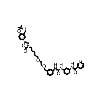 CC1(C)OCc2cc([C@@H]3CN(CCCCCOCCOCc4cccc(NC(=O)Nc5cccc(NC(=O)c6cccnc6)c5)c4)C(=O)O3)ccc2O1